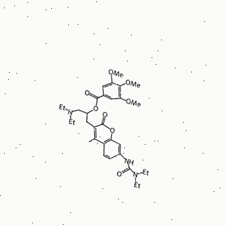 CCN(CC)CC(Cc1c(C)c2ccc(NC(=O)N(CC)CC)cc2oc1=O)OC(=O)c1cc(OC)c(OC)c(OC)c1